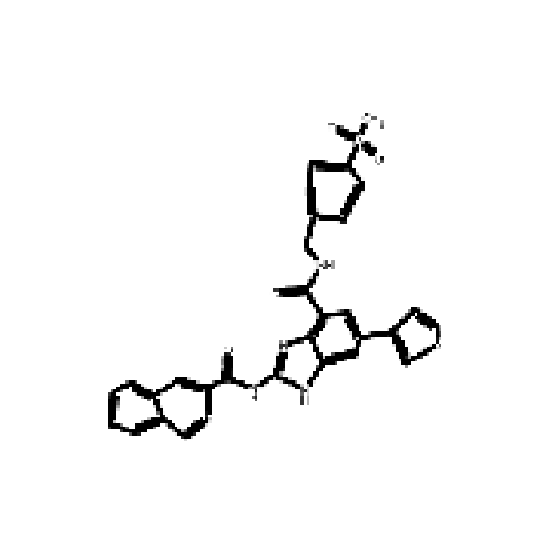 CS(=O)(=O)c1ccc(CNC(=O)c2cc(-c3ccsc3)cc3[nH]c(NC(=O)c4cc5ccccc5cn4)nc23)cc1